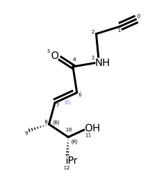 C#CCNC(=O)/C=C/[C@@H](C)[C@H](O)C(C)C